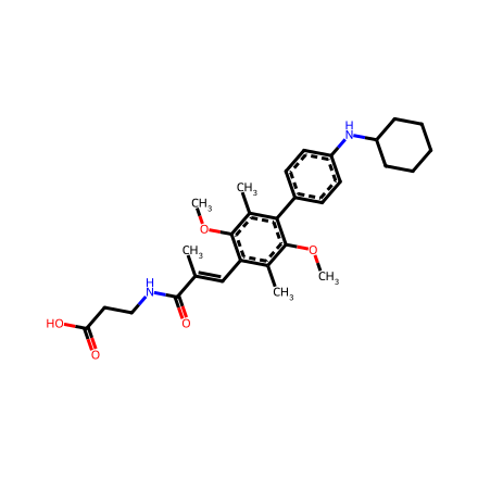 COc1c(C)c(-c2ccc(NC3CCCCC3)cc2)c(OC)c(C)c1/C=C(\C)C(=O)NCCC(=O)O